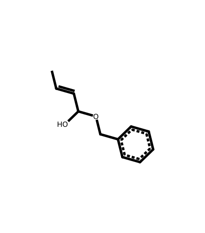 C/C=C/C(O)OCc1ccccc1